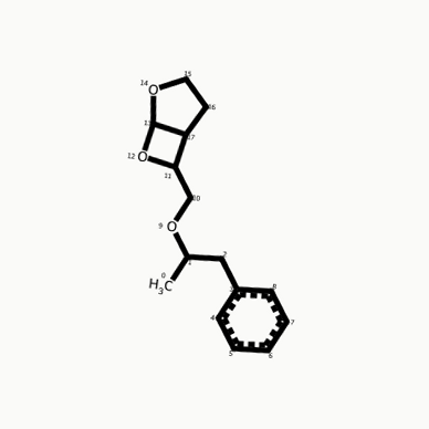 CC(Cc1ccccc1)OCC1OC2OCCC12